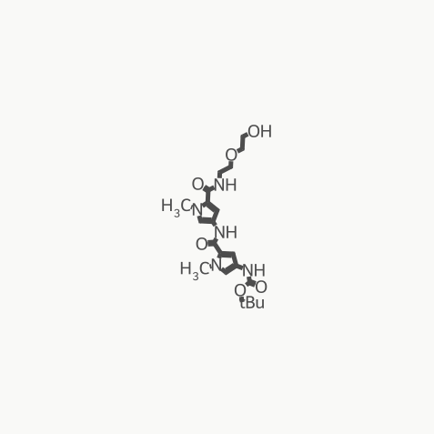 Cn1cc(NC(=O)c2cc(NC(=O)OC(C)(C)C)cn2C)cc1C(=O)NCCOCCO